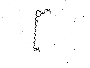 CCCCCCCCCCCCN=CC(CC)CCCC